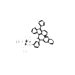 CC1(C)OB(c2cccc3c(-c4ccc5c(c4)C=CCC5)c(-c4c5ccccc5c(-c5ccccc5)c5ccccc45)sc23)OC1(C)C